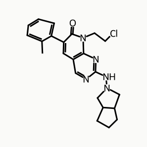 Cc1ccccc1-c1cc2cnc(NN3CC4CCCC4C3)nc2n(CCCl)c1=O